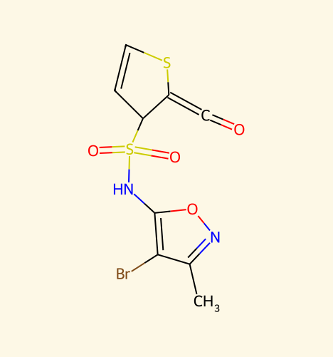 Cc1noc(NS(=O)(=O)C2C=CSC2=C=O)c1Br